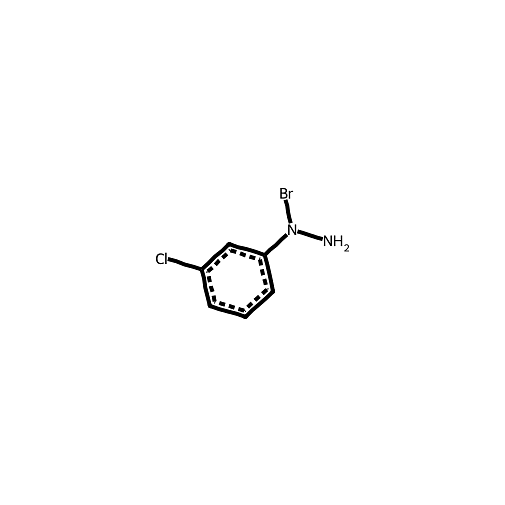 NN(Br)c1cccc(Cl)c1